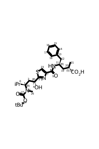 CC(C)[C@@H](C[C@@H](O)c1nc(C(=O)N[C@@H](Cc2ccccc2)C[C@H](C)C(=O)O)cs1)N(C)C(=O)OC(C)(C)C